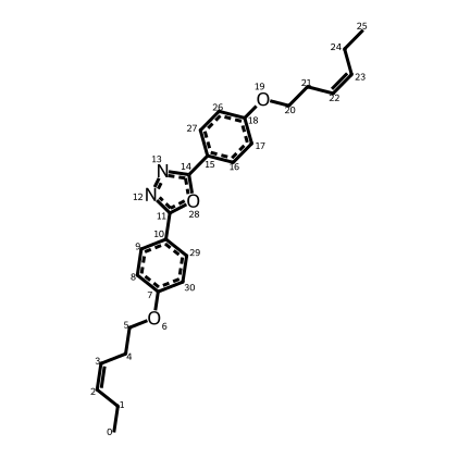 CC/C=C\CCOc1ccc(-c2nnc(-c3ccc(OCC/C=C\CC)cc3)o2)cc1